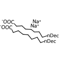 CCCCCCCCCCCCCCCCCC(=O)[O-].CCCCCCCCCCCCCCCCCC(=O)[O-].[Na+].[Na+]